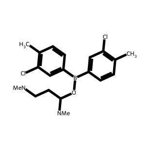 CNCCC(NC)OB(c1ccc(C)c(Cl)c1)c1ccc(C)c(Cl)c1